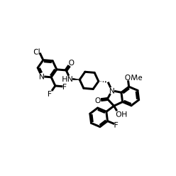 COc1cccc2c1N(C[C@H]1CC[C@H](NC(=O)c3cc(Cl)cnc3C(F)F)CC1)C(=O)C2(O)c1ccccc1F